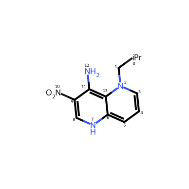 CC(C)CN1C=CC=C2NC=C([N+](=O)[O-])C(N)=C21